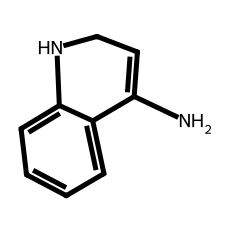 NC1=CCNc2ccccc21